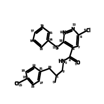 CC(CNC(=O)c1cc(Cl)nnc1Sc1ccccc1)Cc1ccc(Cl)cc1